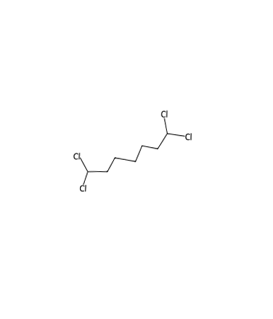 ClC(Cl)CCCCCC(Cl)Cl